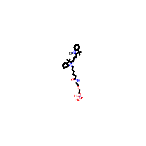 CC[N+]1=C(/C=C/C=C2/N(CCCCCC(=O)NCCOCCOP(=O)(O)O)c3ccccc3C2(C)C)C(C)(C)c2ccccc21